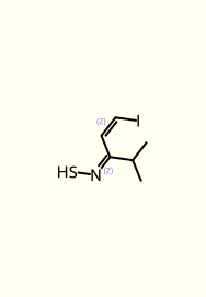 CC(C)C(/C=C\I)=N/S